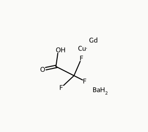 O=C(O)C(F)(F)F.[BaH2].[Cu].[Gd]